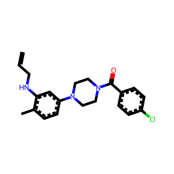 C=CCNc1cc(N2CCN(C(=O)c3ccc(Cl)cc3)CC2)ccc1C